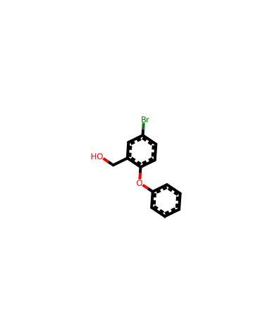 OCc1cc(Br)ccc1Oc1c[c]ccc1